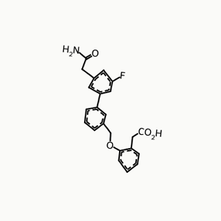 NC(=O)Cc1cc(F)cc(-c2cccc(COc3ccccc3CC(=O)O)c2)c1